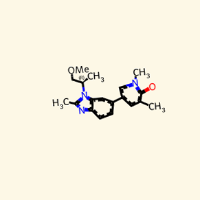 COC[C@@H](C)n1c(C)nc2ccc(-c3cc(C)c(=O)n(C)c3)cc21